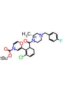 C[C@@H]1CN(Cc2ccc(F)cc2)CCN1C(=O)C1CC=CC(Cl)=C1C1=CN(C(=O)OC(C)(C)C)C=CO1